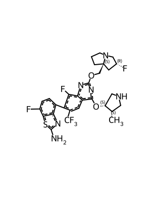 C[C@H]1CNC[C@H]1Oc1nc(OC[C@@]23CCCN2C[C@H](F)C3)nc2c(F)c(-c3ccc(F)c4sc(N)nc34)c(C(F)(F)F)cc12